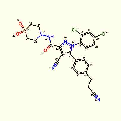 N#CCCc1ccc(-c2c(C#N)c(C(=O)NN3CCS(=O)(=O)CC3)nn2-c2ccc(Cl)cc2Cl)cc1